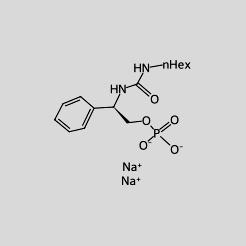 CCCCCCNC(=O)N[C@@H](COP(=O)([O-])[O-])c1ccccc1.[Na+].[Na+]